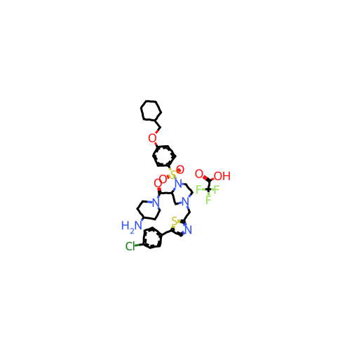 NC1CCN(C(=O)C2CN(Cc3ncc(-c4ccc(Cl)cc4)s3)CCN2S(=O)(=O)c2ccc(OCC3CCCCC3)cc2)CC1.O=C(O)C(F)(F)F